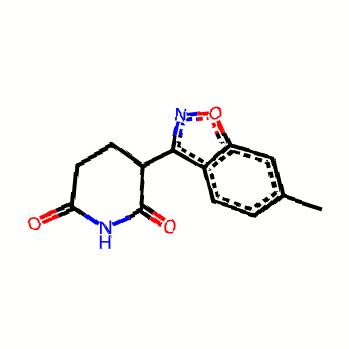 Cc1ccc2c(C3CCC(=O)NC3=O)noc2c1